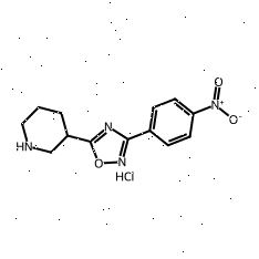 Cl.O=[N+]([O-])c1ccc(-c2noc(C3CCCNC3)n2)cc1